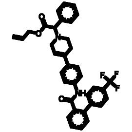 C=CCOC(=O)C(c1ccccc1)N1CC=C(c2ccc(NC(=O)c3ccccc3-c3ccc(C(F)(F)F)cc3)cc2)CC1